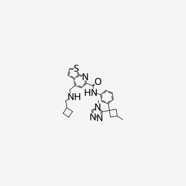 CC1CC(c2cccc(NC(=O)c3cc(CNCC4CCC4)c4ccsc4n3)c2)(c2nncn2C)C1